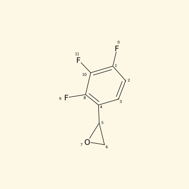 Fc1ccc(C2CO2)c(F)c1F